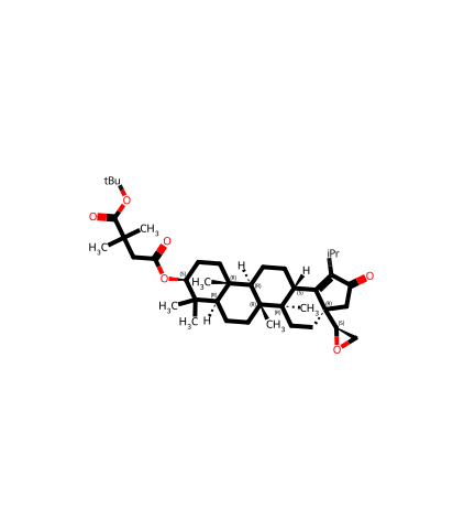 CC(C)C1=C2[C@H]3CC[C@@H]4[C@@]5(C)CC[C@H](OC(=O)CC(C)(C)C(=O)OC(C)(C)C)C(C)(C)[C@@H]5CC[C@@]4(C)[C@]3(C)CC[C@@]2([C@H]2CO2)CC1=O